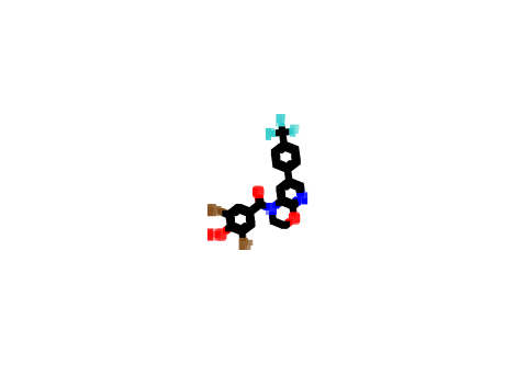 O=C(c1cc(Br)c(O)c(Br)c1)N1CCOc2ncc(-c3ccc(C(F)(F)F)cc3)cc21